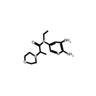 CCN(C(=O)C(C)N1CCOCC1)c1cnc(N)c(N)c1